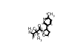 Cc1ccc(C2CCON2C(=O)C(C)(C)C(F)F)cn1